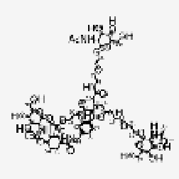 CC(=O)NC1C(OCCOCCNC(=O)CN(CC(=O)NCCOCCOC2OC(CO)C(O)C(O)C2NC(C)O)C(Cc2ccc(CNC(=O)C3CCC(OC(C)(C)C)CC3)cc2)C(=O)NCCOCCOC2OC(CO)C(O)C(O)C2NC(C)=O)OC(CO)C(O)C1O